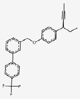 CC#CC(CC)c1ccc(OCc2cccc(-c3ccc(C(F)(F)F)cc3)c2)cc1